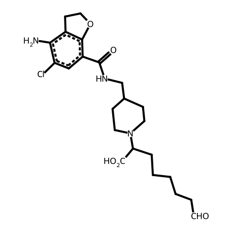 Nc1c(Cl)cc(C(=O)NCC2CCN(C(CCCCCC=O)C(=O)O)CC2)c2c1CCO2